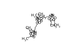 CCCCOC(=O)c1nnn(CCCCCCOC(=O)c2nnn(C(C)C(C)C)c2C(=O)OCCCCCCn2nnc(C(=O)OCCCC)c2C(=O)OCCCC)c1C(=O)OCCCC